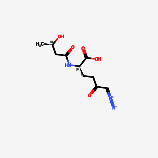 C[C@H](O)CC(=O)N[C@@H](CCC(=O)C=[N+]=[N-])C(=O)O